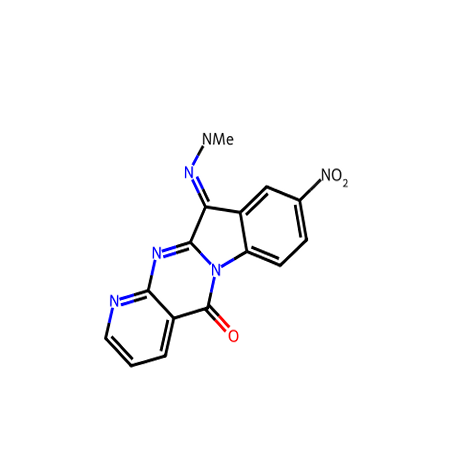 CN/N=C1\c2cc([N+](=O)[O-])ccc2-n2c1nc1ncccc1c2=O